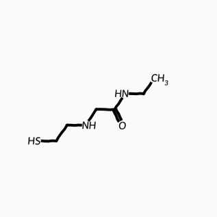 CCNC(=O)CNCCS